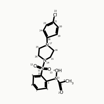 CC(=O)N(O)c1ccccc1S(=O)(=O)N1CCN(c2ccc(Cl)cc2)CC1